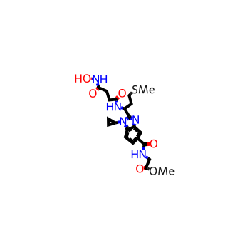 COC(=O)CNC(=O)c1ccc2c(c1)nc(C(CCSC)NC(=O)CCC(=O)NO)n2C1CC1